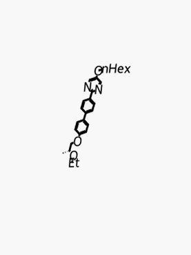 CCCCCCOc1cnc(-c2ccc(-c3ccc(OC[C@@H](C)OCC)cc3)cc2)nc1